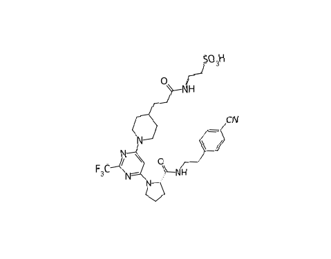 N#Cc1ccc(CCNC(=O)[C@@H]2CCCN2c2cc(N3CCC(CCC(=O)NCCS(=O)(=O)O)CC3)nc(C(F)(F)F)n2)cc1